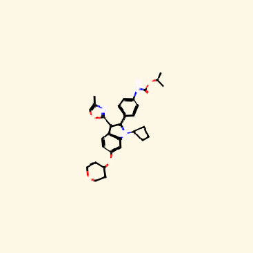 Cc1coc(C2c3ccc(OC4CCOCC4)cc3N(C3CCC3)C2c2ccc(NC(=O)OC(C)C)cc2)n1